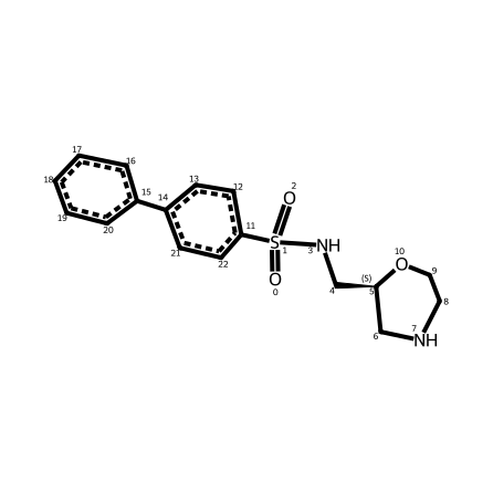 O=S(=O)(NC[C@@H]1CNCCO1)c1ccc(-c2ccccc2)cc1